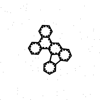 c1ccc2c(c1)-c1cccc3cc4c5ccccc5c5ccccc5c4c-2c13